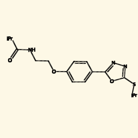 CC(C)Sc1nnc(-c2ccc(OCCNC(=O)C(C)C)cc2)o1